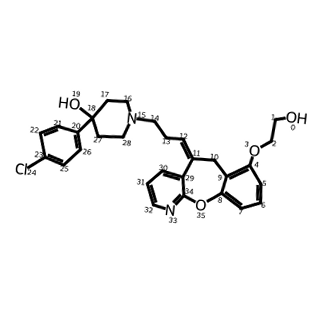 OCCOc1cccc2c1C/C(=C/CCN1CCC(O)(c3ccc(Cl)cc3)CC1)c1cccnc1O2